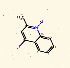 Cc1cc(I)c2ccccc2[n+]1I